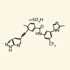 CS(=O)(=O)O.Cc1ncn(-c2cc(NC(=O)c3ccc(C)c(C#Cc4cnc5[nH]ncc5c4)c3)cc(C(F)(F)F)c2)n1